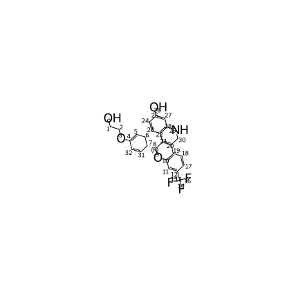 OCCOC1=CCC([C@H]2Oc3cc(C(F)(F)F)ccc3C3=C2c2ccc(O)cc2NC3)C=C1